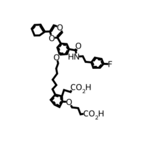 O=C(O)CCCOc1cccc(CCCCCCOc2cc(C(=O)NCCc3ccc(F)cc3)cc(C3=COC=C(C4=CC=CCC4)O3)c2)c1CCC(=O)O